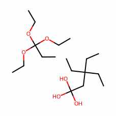 CCC(CC)(CC)CC(O)(O)O.CCOC(CC)(OCC)OCC